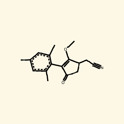 COC1=C(c2c(C)cc(C)cc2C)C(=O)CC1CC#N